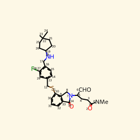 CNC(=O)CCC(C=O)N1Cc2c(SCc3ccc(CNC4CCC(C)(C)CC4)c(F)c3)cccc2C1=O